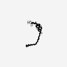 CCCCCCCC/C=C\CCCCCCCC(=O)C1CC[C@@]2(C)C(CC[C@H]3[C@@H]4CC[C@H]([C@H](C)CCC(=O)O)[C@@]4(C)CC[C@@H]32)C1